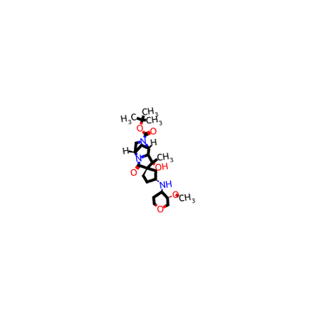 CO[C@@H]1COCC[C@@H]1N[C@@H]1CC[C@@]2(C1)C(=O)N1C([C@@H]3C[C@H]1CN3C(=O)OC(C)(C)C)C2(C)O